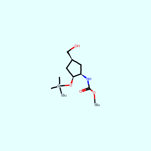 CC(C)(C)OC(=O)N[C@@H]1C[C@H](CO)C[C@@H]1O[Si](C)(C)C(C)(C)C